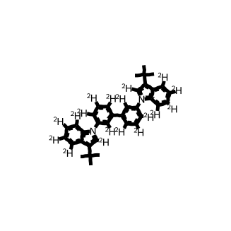 [2H]c1c([2H])c(-c2c([2H])c([2H])c([2H])c(-n3c([2H])c(C(C)(C)C)c4c([2H])c([2H])c([2H])c([2H])c43)c2[2H])c([2H])c(-n2c([2H])c(C(C)(C)C)c3c([2H])c([2H])c([2H])c([2H])c32)c1[2H]